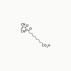 N#CC=C(C#N)C(=O)OC(=O)CCCCCCCCC(=O)O